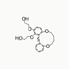 OCCOc1ccc2c(c1OCCO)Sc1ccccc1OCCCCO2